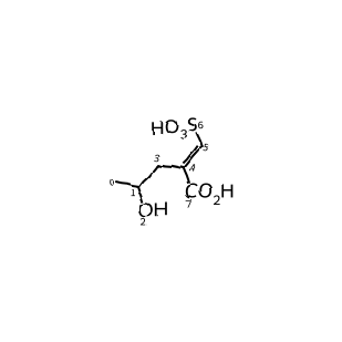 CC(O)CC(=CS(=O)(=O)O)C(=O)O